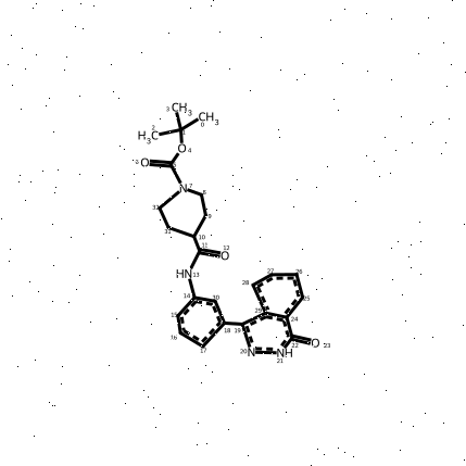 CC(C)(C)OC(=O)N1CCC(C(=O)Nc2cccc(-c3n[nH]c(=O)c4ccccc34)c2)CC1